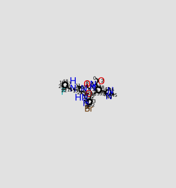 CC(=O)c1nn(CC(=O)N2C3C[C@]3(CNCc3ccccc3F)C[C@H]2C(=O)Nc2nc(Br)ccc2C)c2c(C)cc(-c3cnc(C)nc3)cc12